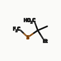 CCC(C)(SC(F)(F)F)C(=O)O